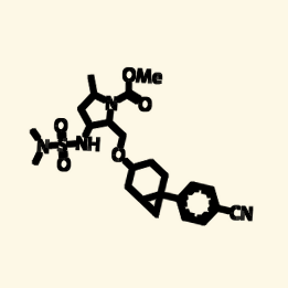 COC(=O)N1C(C)CC(NS(=O)(=O)N(C)C)C1COC1CCC2(c3ccc(C#N)cc3)CC2C1